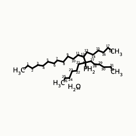 CCCCCCCCCCCCC(CCCCCC)C(P)(CCCCCC)CCCCCC.O